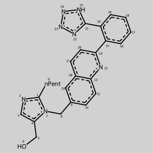 CCCCCc1ncc(CO)n1Cc1ccc2nc(-c3ccccc3-c3nnn[nH]3)ccc2c1